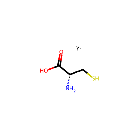 N[C@@H](CS)C(=O)O.[Y]